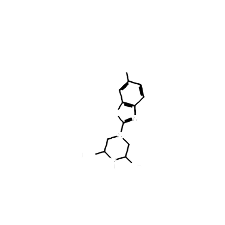 CC1CN(c2nc3ccc(F)cc3s2)CC(C)N1